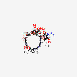 CC1OC(=O)/C=C/C2OC2CC(O)CC2(O)C[C@H](O)C(C(=O)O)[C@H](CC(OC3O[C@H](C)C(O)[C@H](N)[C@@H]3O)/C=C/C=C/C=C/C=C/[C@@H]1C)O2